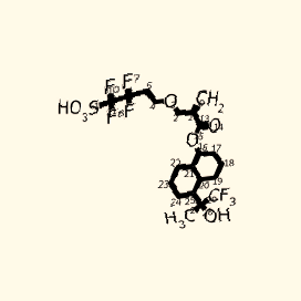 C=C(COCCC(F)(F)C(F)(F)S(=O)(=O)O)C(=O)OC1CCCC2C1CCCC2C(C)(O)C(F)(F)F